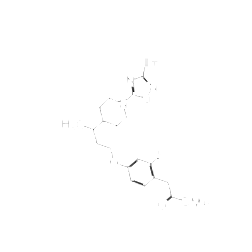 COC(=O)Cc1ccc(OCCC(C)C2CCN(c3nc(C(C)C)no3)CC2)cc1F